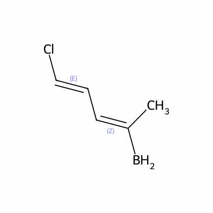 B/C(C)=C/C=C/Cl